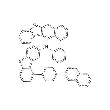 c1ccc(N(c2ccc3sc4cccc(-c5ccc(-c6ccc7ccccc7c6)cc5)c4c3c2)c2c3ccccc3cc3oc4ccccc4c23)cc1